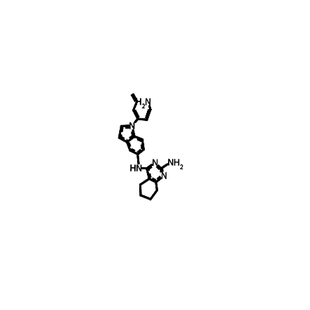 C=C/C=C(\C=C/N)n1ccc2cc(Nc3nc(N)nc4c3CCCC4)ccc21